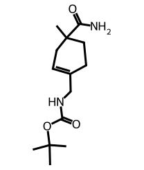 CC(C)(C)OC(=O)NCC1=CCC(C)(C(N)=O)CC1